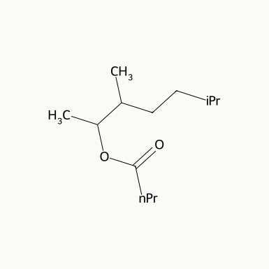 CCCC(=O)OC(C)C(C)CCC(C)C